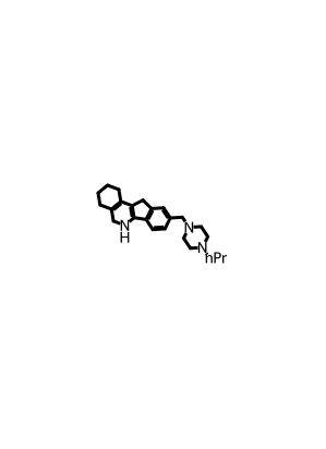 CCCN1CCN(Cc2ccc3c(c2)CC2=C3NCC3=C2CCCC3)CC1